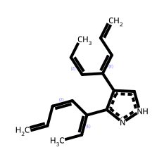 C=C/C=C\C(=C/C)c1n[nH]cc1C(/C=C\C)=C/C=C